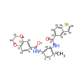 Cc1ccc(NC(=O)c2ccc3c(c2)OCCO3)cc1NC(=O)c1ccc2sccc2c1